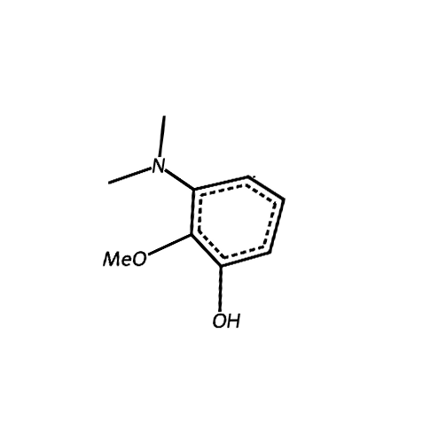 COc1c(N(C)C)[c]ccc1O